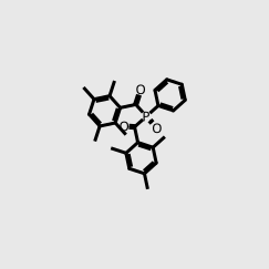 Cc1cc(C)c(C(=O)P(=O)(C(=O)c2c(C)c(C)cc(C)c2C)c2ccccc2)c(C)c1